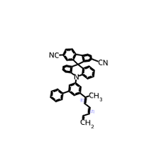 C=C/C=C\C=C(/C)c1cc(-c2ccccc2)cc(N2c3ccccc3C3(c4cc(C#N)ccc4-c4ccc(C#N)cc43)c3ccccc32)c1